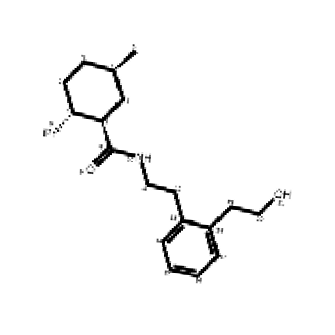 CC(C)[C@@H]1CC[C@@H](C)C[C@H]1C(=O)NCCc1ccccc1CCO